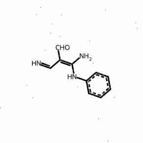 N=C/C(C=O)=C(/N)Nc1ccccc1